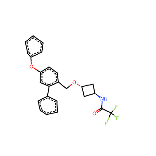 O=C(N[C@H]1C[C@H](OCc2ccc(Oc3ccccc3)cc2-c2ccccc2)C1)C(F)(F)F